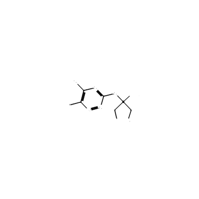 CC(CO)(CO)Nc1nnc(Cl)c(N)n1